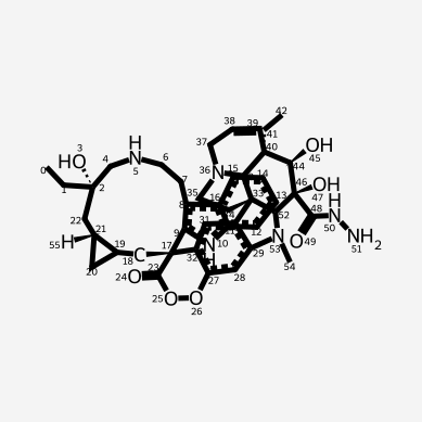 CC[C@@]1(O)CNCCc2c([nH]c3ccccc23)[C@@]2(CC3C[C@@H]3C1)C(=O)OOc1cc3c(cc12)[C@]12CCN4CC=C[C@](CC)(C41)[C@@H](O)[C@](O)(C(=O)NN)C2N3C